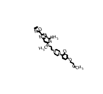 COCCOc1ccc(N2CCN(CCN(C)c3cc4nc(-c5ncco5)nn4c(N)n3)CC2)c(Cl)c1